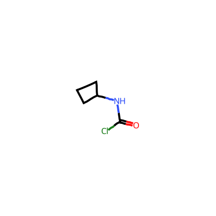 O=C(Cl)NC1CCC1